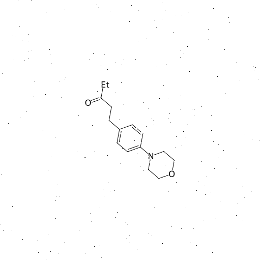 CCC(=O)CCc1ccc(N2CCOCC2)cc1